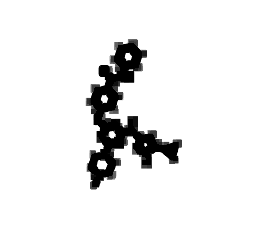 CN1CCN(c2nc(Nc3cc(C4CC4)[nH]n3)nc(Sc3ccc(C(=O)Nc4ccccc4)cc3)n2)CC1